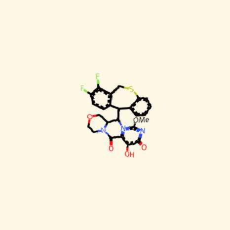 COc1nc(=O)c(O)c2n1C(C1c3ccccc3SCc3c1ccc(F)c3F)C1COCCN1C2=O